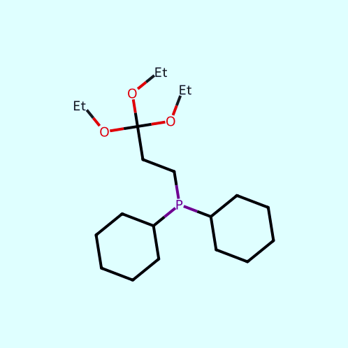 CCOC(CCP(C1CCCCC1)C1CCCCC1)(OCC)OCC